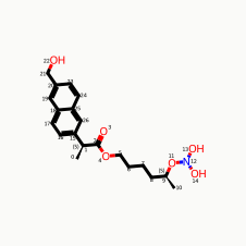 C[C@H](C(=O)OCCCC[C@H](C)ON(O)O)c1ccc2cc(CO)ccc2c1